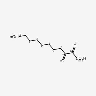 CCCCCCCCCCCCCCCC(=O)C(=O)C(=O)O